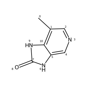 Cc1cncc2[nH]c(=O)[nH]c12